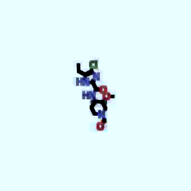 CCc1[nH]c(C(=O)N[C@@H]2CCN(C=O)C[C@@H]2OC)nc1Cl